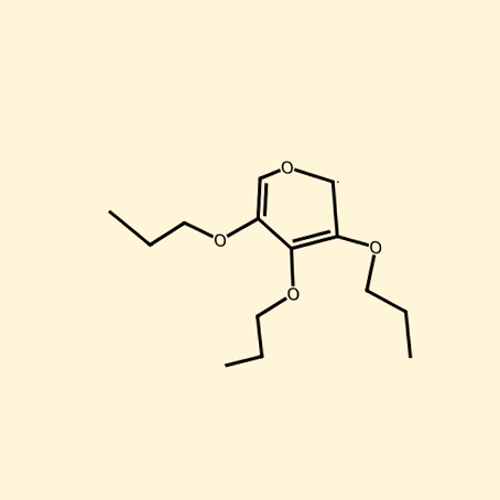 CCCOC1=CO[CH]C(OCCC)=C1OCCC